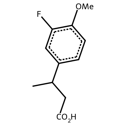 COc1ccc(C(C)CC(=O)O)cc1F